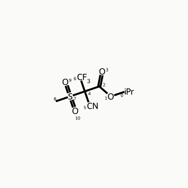 CC(C)OC(=O)C(C#N)(C(F)(F)F)S(C)(=O)=O